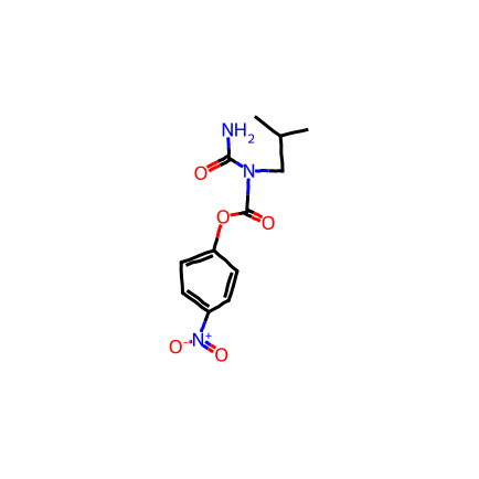 CC(C)CN(C(N)=O)C(=O)Oc1ccc([N+](=O)[O-])cc1